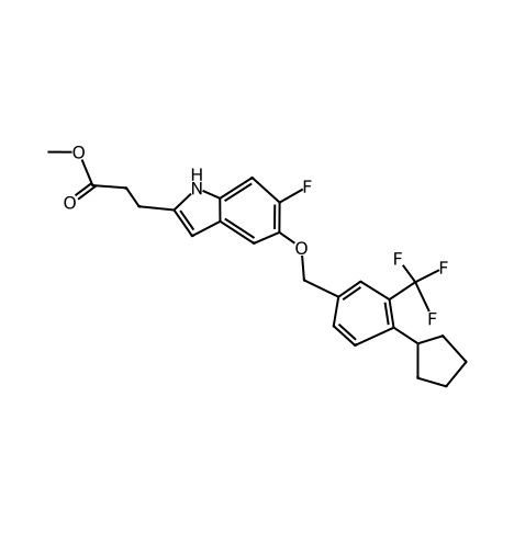 COC(=O)CCc1cc2cc(OCc3ccc(C4CCCC4)c(C(F)(F)F)c3)c(F)cc2[nH]1